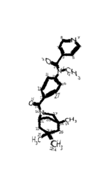 CN(C(=O)c1ccncc1)c1ccc(C(=O)N2CC3(C)CC2CC(C)(C)C3)cc1